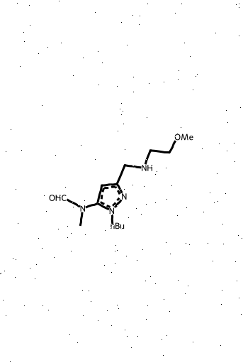 CCCCn1nc(CNCCOC)cc1N(C)C=O